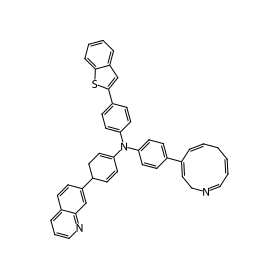 C1=CC(c2ccc3cccnc3c2)CC=C1N(c1ccc(C2=C/C/N=C\C=C/C/C=C\2)cc1)c1ccc(-c2cc3ccccc3s2)cc1